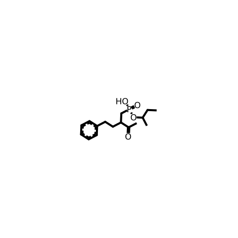 CCC(C)OP(=O)(O)CC(CCc1ccccc1)C(C)=O